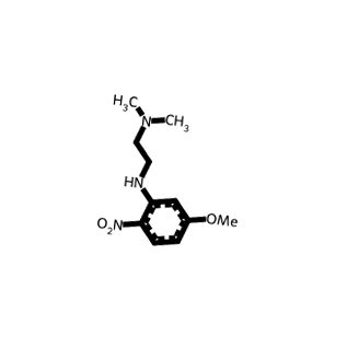 COc1ccc([N+](=O)[O-])c(NCCN(C)C)c1